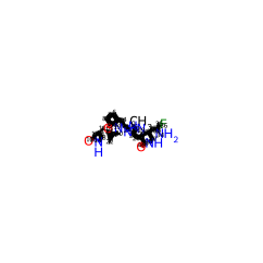 Cn1c(-c2cc3cccc(OC[C@H]4CNC(=O)C4)c3n2CC2CC2)nc2cc3c(nc21)C(C[C@H](N)CF)CNC3=O